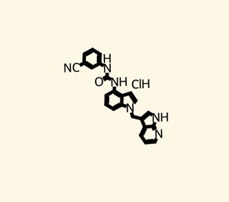 Cl.N#Cc1cccc(NC(=O)Nc2cccc3c2ccn3Cc2c[nH]c3ncccc23)c1